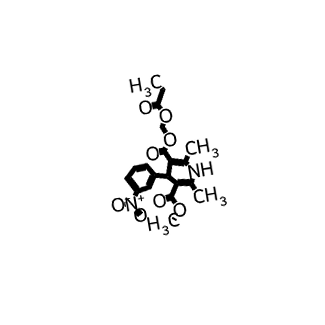 CCC(=O)OCOC(=O)C1=C(C)NC(C)=C(C(=O)OC)C1c1cccc([N+](=O)[O-])c1